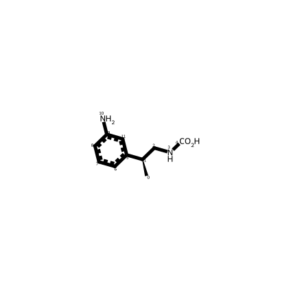 C[C@H](CNC(=O)O)c1cccc(N)c1